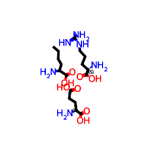 CCCCC(N)C(=O)O.N=C(N)NCCC[C@H](N)C(=O)O.N[C@@H](CCC(=O)O)C(=O)O